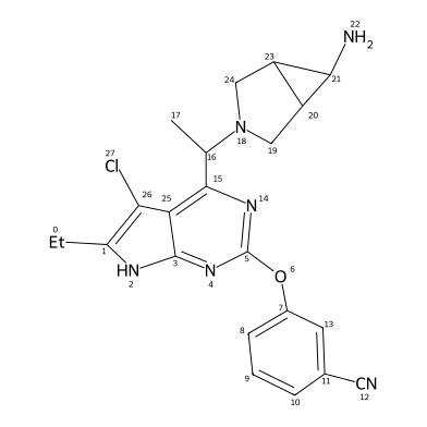 CCc1[nH]c2nc(Oc3cccc(C#N)c3)nc(C(C)N3CC4C(N)C4C3)c2c1Cl